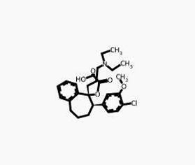 CCN(CC)CCC[C@]1(OC(=O)C(=O)O)c2ccccc2CCC[C@@H]1c1ccc(Cl)c(OC)c1